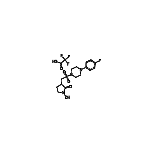 O=C(O)C(F)(F)F.O=C1C(CS(=O)(=O)N2CCN(c3ccc(F)cc3)CC2)CCN1O